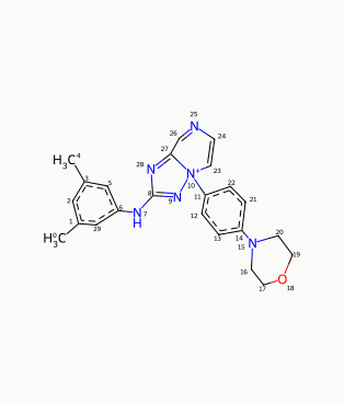 Cc1cc(C)cc(NC2=N[N+]3(c4ccc(N5CCOCC5)cc4)C=CN=CC3=N2)c1